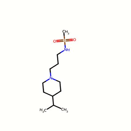 CC(C)C1CCN(CCCNS(C)(=O)=O)CC1